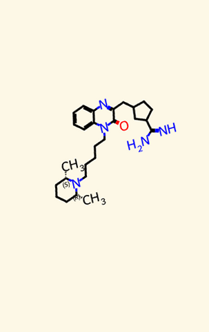 C[C@@H]1CCC[C@H](C)N1CCCCCn1c(=O)c(CC2CCC(C(=N)N)C2)nc2ccccc21